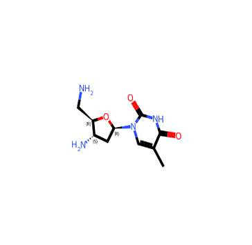 Cc1cn([C@H]2C[C@H](N)[C@@H](CN)O2)c(=O)[nH]c1=O